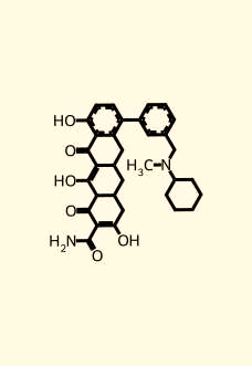 CN(Cc1cccc(-c2ccc(O)c3c2CC2CC4CC(O)=C(C(N)=O)C(=O)C4C(O)=C2C3=O)c1)C1CCCCC1